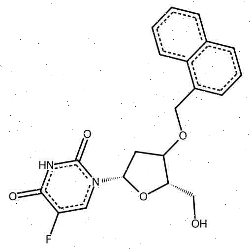 O=c1[nH]c(=O)n([C@@H]2CC(OCc3cccc4ccccc34)[C@H](CO)O2)cc1F